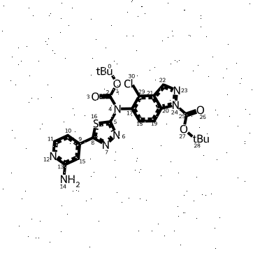 CC(C)(C)OC(=O)N(c1nnc(-c2ccnc(N)c2)s1)c1ccc2c(cnn2C(=O)OC(C)(C)C)c1Cl